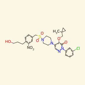 CC1(COc2c(N3CCN(S(=O)(=O)Cc4ccc(CCCO)c([N+](=O)[O-])c4)CC3)cnn(-c3cccc(Cl)c3)c2=O)CC1